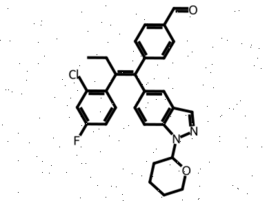 CCC(=C(c1ccc(C=O)cc1)c1ccc2c(cnn2C2CCCCO2)c1)c1ccc(F)cc1Cl